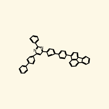 c1ccc(-c2ccc(-c3cc(-c4ccc(-c5ccc(-c6ccc7c8c(cccc68)-c6ccccc6-7)cc5)cc4)nc(-c4ccccc4)n3)cc2)cc1